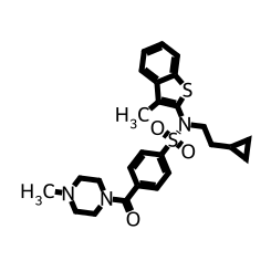 Cc1c(N(CCC2CC2)S(=O)(=O)c2ccc(C(=O)N3CCN(C)CC3)cc2)sc2ccccc12